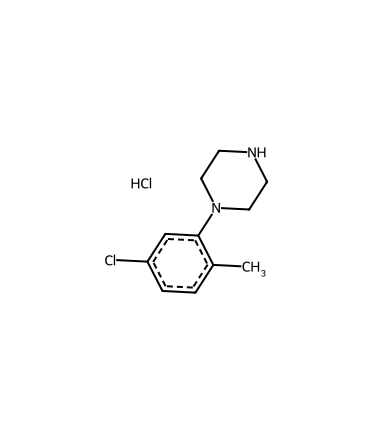 Cc1ccc(Cl)cc1N1CCNCC1.Cl